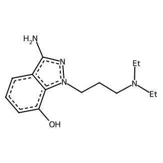 CCN(CC)CCCn1nc(N)c2cccc(O)c21